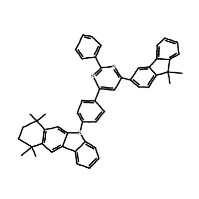 CC1(C)CCC(C)(C)c2cc3c(cc21)c1ccccc1n3-c1ccc(-c2cc(-c3ccc4c(c3)-c3ccccc3C4(C)C)nc(-c3ccccc3)n2)cc1